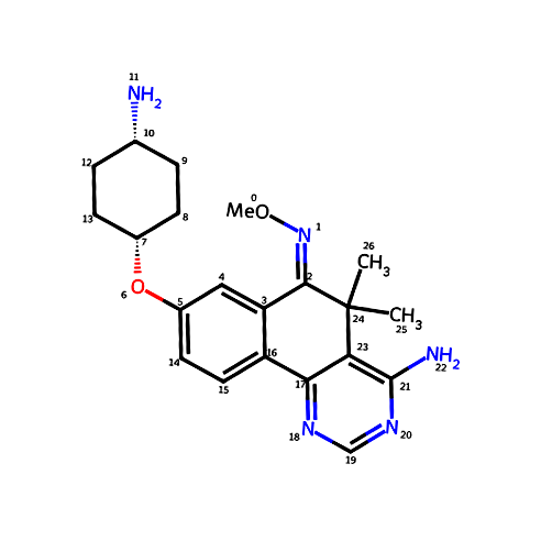 CO/N=C1\c2cc(O[C@H]3CC[C@@H](N)CC3)ccc2-c2ncnc(N)c2C1(C)C